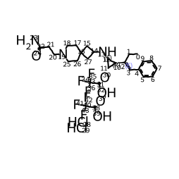 CC/C(=C\c1ccccc1)[C@H]1C[C@@H]1NC1CC2(CCN(CCC(N)=O)CC2)C1.Cl.Cl.O=C(O)C(F)(F)F.O=C(O)C(F)(F)F